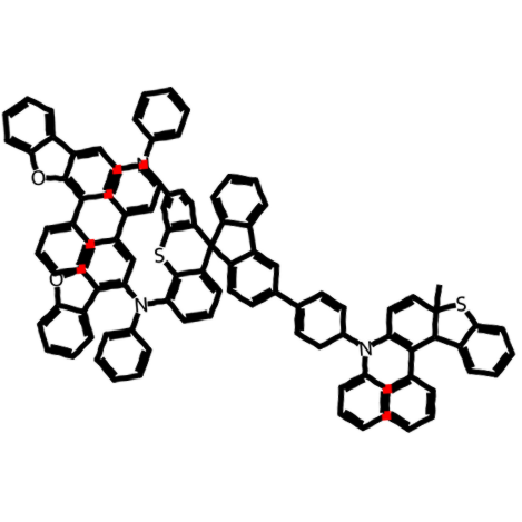 CC12C=CC(N(c3ccccc3)C3C=CC(c4ccc5c(c4)-c4ccccc4C54c5ccc(N(c6ccccc6)c6cc(-c7ccccc7)c7oc8ccccc8c7c6)cc5Sc5c(N(c6ccccc6)c6cc(-c7ccccc7)cc7oc8ccccc8c67)cccc54)=CC3)=C(c3ccccc3)C1c1ccccc1S2